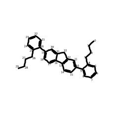 CCCCc1ccccc1-c1[c]c2c(cc1)-c1ccc(-c3ccccc3CCCC)cc1C2